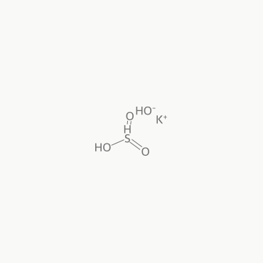 O=[SH](=O)O.[K+].[OH-]